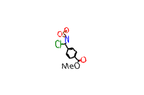 COC(=O)c1ccc(C(Cl)N=S(=O)=O)cc1